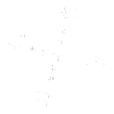 CC(=O)NC1C(OCCCCC(=O)NCCCNC(=O)CCOCC(COCCC(=O)NCCCNC(=O)CCCCOC2OC(CO)C(O)C(O)C2NC(C)=O)(COCCC(=O)NCCCNC(=O)CCCCOC2O[C@H](CO)C(O)C(O)C2NC(C)=O)NC(=O)CCCCCCCCCCC(=O)NCC2CC(O)C(CO)O2)OC(CO)C(O)C1O